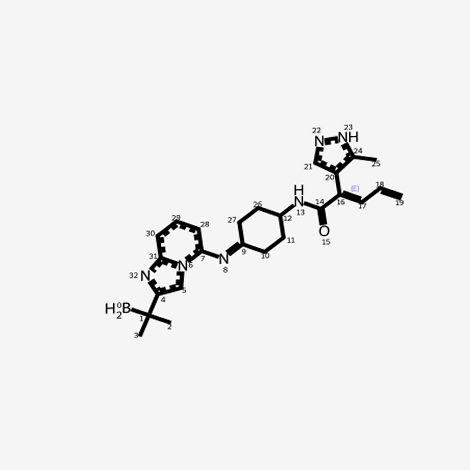 BC(C)(C)c1cn2c(N=C3CCC(NC(=O)/C(=C/C=C)c4cn[nH]c4C)CC3)cccc2n1